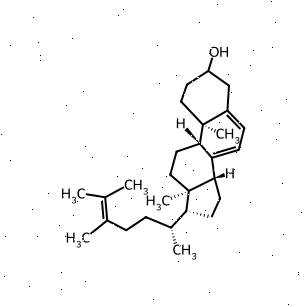 CC(C)=C(C)CC[C@@H](C)[C@H]1CC[C@H]2C3=CC=C4CC(O)CC[C@]4(C)[C@H]3CC[C@]12C